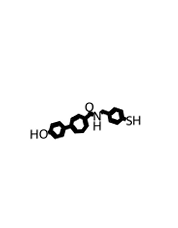 O=C(NCc1ccc(S)cc1)C1=CCC=C(c2ccc(O)cc2)C=C1